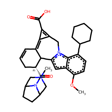 COc1ccc(C2CCCCC2)c2c1cc1n2CC2=C(C(=O)O)C2=C2C=CC[C@@H](C(=O)N3C4CCC3CN(C)C4)C21